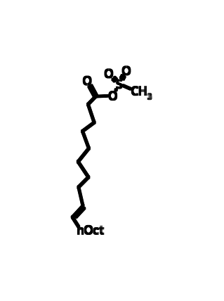 CCCCCCCCC=CCCCCCCCC(=O)OS(C)(=O)=O